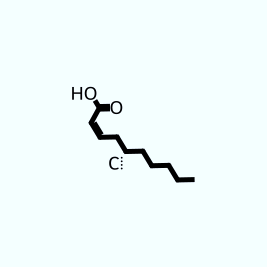 CCCCCCC/C=C\C(=O)O.[C]